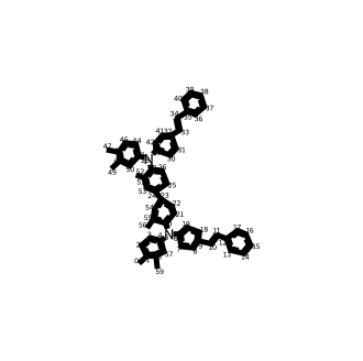 Cc1ccc(N(c2ccc(/C=C/c3ccccc3)cc2)c2ccc(-c3ccc(N(c4ccc(/C=C/c5ccccc5)cc4)c4ccc(C)c(C)c4)c(C)c3)cc2C)cc1C